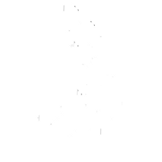 Cc1ccc(F)cc1CNc1c(C2CCC2)ccc(-c2cnc(N)cn2)c1F